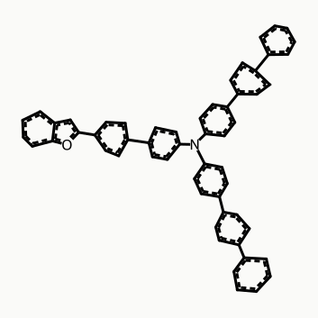 c1ccc(-c2ccc(-c3ccc(N(c4ccc(-c5ccc(-c6ccccc6)cc5)cc4)c4ccc(-c5ccc(-c6cc7ccccc7o6)cc5)cc4)cc3)cc2)cc1